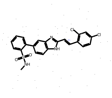 CNS(=O)(=O)c1ccccc1-c1ccc2[nH]c(/C=C/c3ccc(Cl)cc3Cl)nc2c1